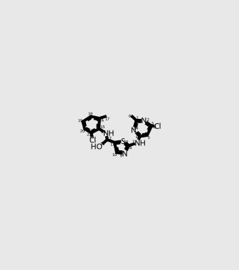 Cc1nc(Cl)cc(Nc2ncc(C(O)Nc3c(C)cccc3Cl)s2)n1